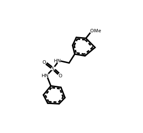 COc1ccc(CNS(=O)(=O)Nc2ccccc2)cc1